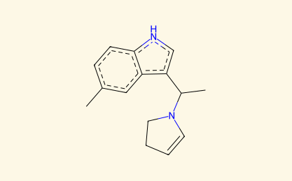 Cc1ccc2[nH]cc(C(C)N3C=CCC3)c2c1